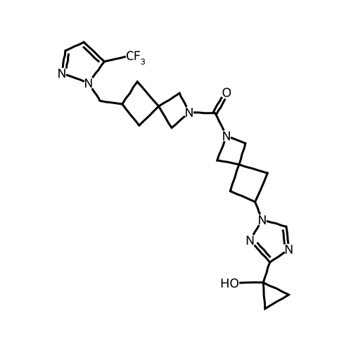 O=C(N1CC2(CC(Cn3nccc3C(F)(F)F)C2)C1)N1CC2(CC(n3cnc(C4(O)CC4)n3)C2)C1